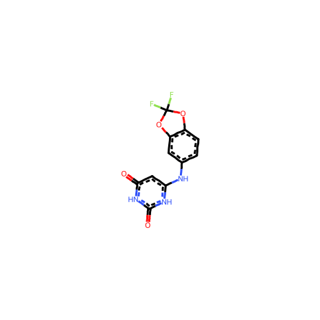 O=c1cc(Nc2ccc3c(c2)OC(F)(F)O3)[nH]c(=O)[nH]1